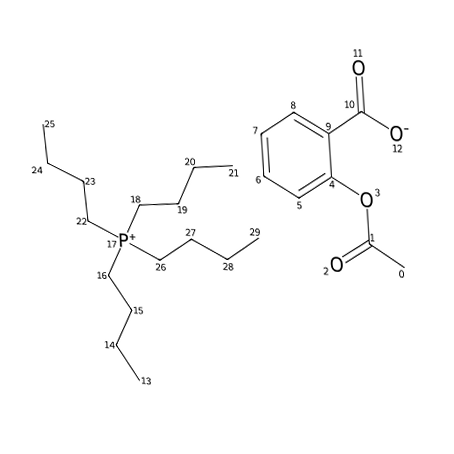 CC(=O)Oc1ccccc1C(=O)[O-].CCCC[P+](CCCC)(CCCC)CCCC